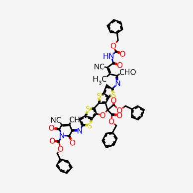 CC1=C(C#N)C(=O)N(C(=O)OCc2ccccc2)C(=O)/C1=N/c1cc2sc3c(c2s1)OC(C(=O)OCc1ccccc1)(C(=O)OCc1ccccc1)c1c-3sc2cc(/N=C(C=O)\C(C)=C(\C#N)C(=O)NC(=O)OCc3ccccc3)sc12